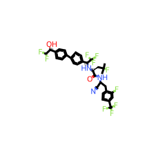 CC(C)(F)C[C@H](N[C@@H](c1ccc(-c2ccc([C@@H](O)C(F)F)cc2)cc1)C(F)(F)F)C(=O)NC(C#N)Cc1ccc(C(F)(F)F)cc1F